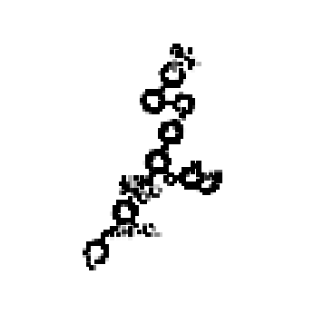 CS(=O)(=O)N1CC=C(c2ccccc2C2CCCN2c2ccc(-c3ccc(C(=O)NS(=O)(=O)c4ccc(NCC5CCOCC5)c([N+](=O)[O-])c4)c(Oc4cnc5[nH]ccc5c4)c3)cc2)CC1